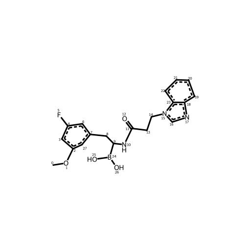 COc1cc(F)cc(CC(NC(=O)CCn2cnc3ccccc32)B(O)O)c1